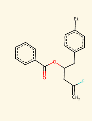 C=C(F)CC(Cc1ccc(CC)cc1)OC(=O)c1ccccc1